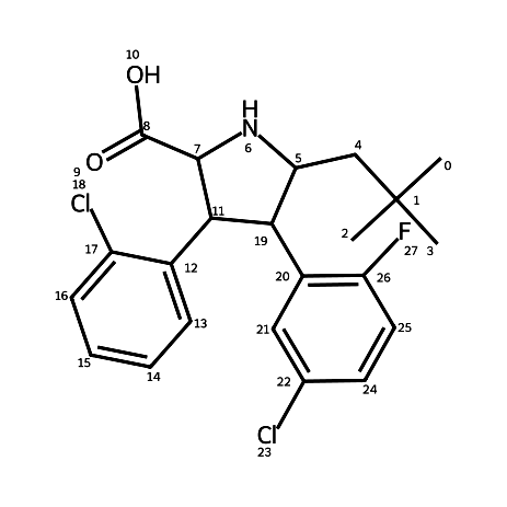 CC(C)(C)CC1NC(C(=O)O)C(c2ccccc2Cl)C1c1cc(Cl)ccc1F